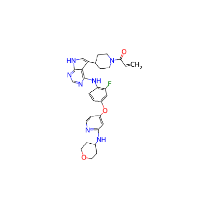 C=CC(=O)N1CCC(c2c[nH]c3ncnc(Nc4ccc(Oc5ccnc(NC6CCOCC6)c5)cc4F)c23)CC1